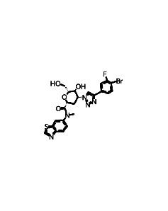 CN(C(=O)[C@H]1C[C@@H](n2cc(-c3ccc(Br)c(F)c3)nn2)[C@@H](O)[C@@H](CO)O1)c1ccc2ncsc2c1